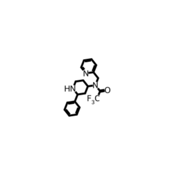 O=C(N(Cc1ccccn1)C1CCNC(c2ccccc2)C1)C(F)(F)F